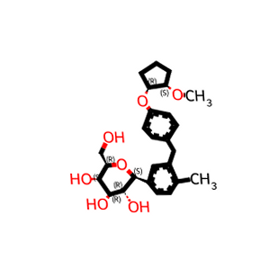 CO[C@H]1CCC[C@H]1Oc1ccc(Cc2cc([C@@H]3O[C@H](CO)[C@@H](O)[C@H](O)[C@H]3O)ccc2C)cc1